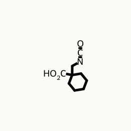 O=C=NCC1(C(=O)O)CCCCC1